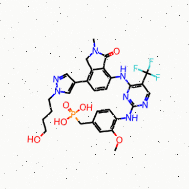 COc1cc(CP(=O)(O)O)ccc1Nc1ncc(C(F)(F)F)c(Nc2ccc(-c3cnn(CCCCO)c3)c3c2C(=O)N(C)C3)n1